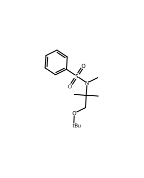 CN(C(C)(C)COC(C)(C)C)S(=O)(=O)c1ccccc1